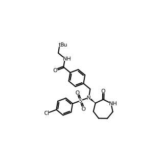 CC(C)(C)CNC(=O)c1ccc(CN([C@@H]2CCCCNC2=O)S(=O)(=O)c2ccc(Cl)cc2)cc1